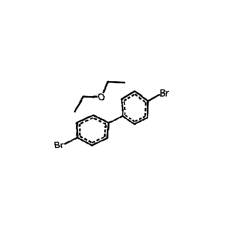 Brc1ccc(-c2ccc(Br)cc2)cc1.CCOCC